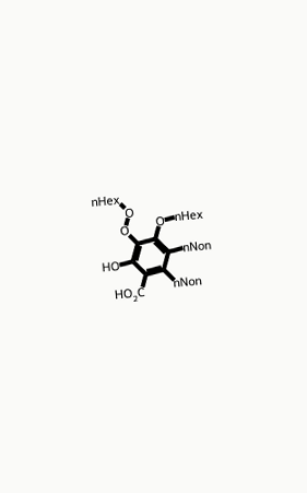 CCCCCCCCCc1c(CCCCCCCCC)c(C(=O)O)c(O)c(OOCCCCCC)c1OCCCCCC